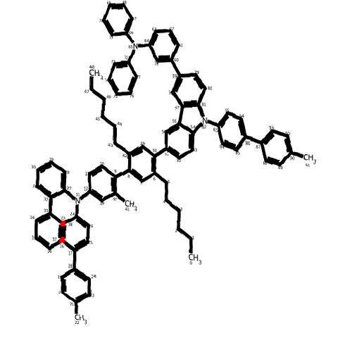 CCCCCCc1cc(-c2ccc(N(c3ccc(-c4ccc(C)cc4)cc3)c3ccccc3-c3ccccc3)cc2C)c(CCCCCC)cc1-c1ccc2c(c1)c1cc(-c3cccc(N(c4ccccc4)c4ccccc4)c3)ccc1n2-c1ccc(-c2ccc(C)cc2)cc1